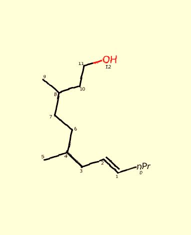 CCCC=CCC(C)CCC(C)CCO